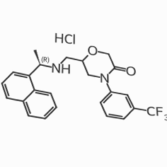 C[C@@H](NCC1CN(c2cccc(C(F)(F)F)c2)C(=O)CO1)c1cccc2ccccc12.Cl